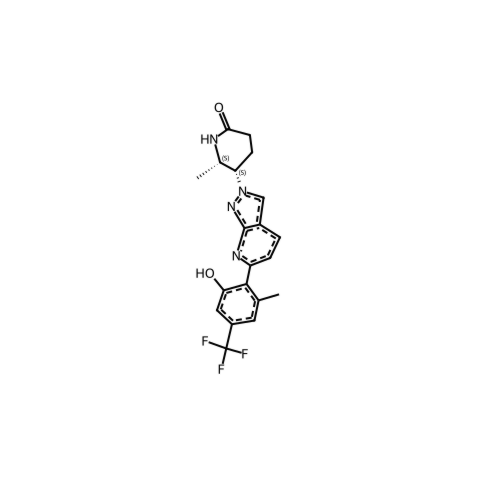 Cc1cc(C(F)(F)F)cc(O)c1-c1ccc2cn([C@H]3CCC(=O)N[C@H]3C)nc2n1